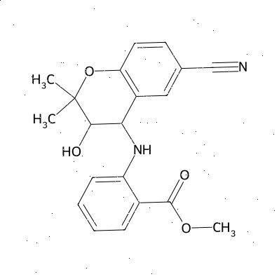 COC(=O)c1ccccc1NC1c2cc(C#N)ccc2OC(C)(C)C1O